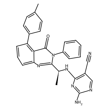 Cc1ccc(-c2cccc3nc([C@H](C)Nc4nc(N)ncc4C#N)n(-c4ccccc4)c(=O)c23)cc1